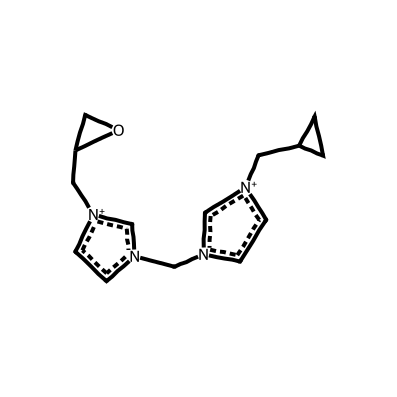 c1c[n+](CC2CC2)cn1Cn1cc[n+](CC2CO2)c1